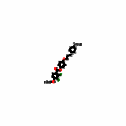 CCCCCCCCOc1ccc(C(=O)Oc2ccc(OCCC[C@H]3CC[C@H](CCCCC)CC3)cc2)c(F)c1F